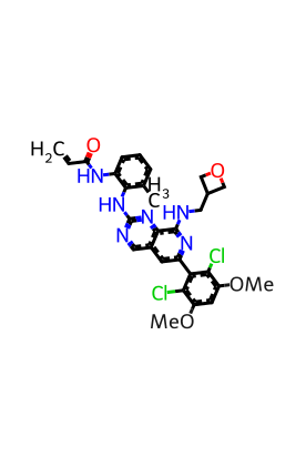 C=CC(=O)Nc1cccc(C)c1Nc1ncc2cc(-c3c(Cl)c(OC)cc(OC)c3Cl)nc(NCC3COC3)c2n1